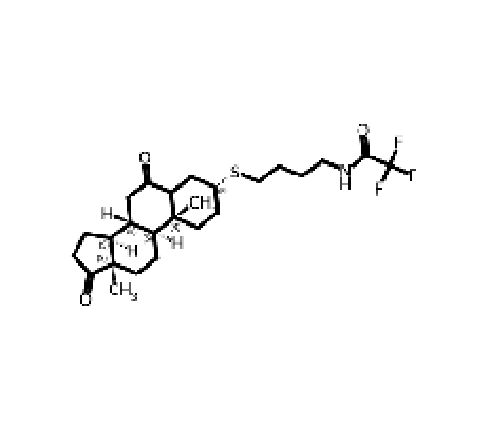 C[C@]12CC[C@@H](SCCCCNC(=O)C(F)(F)F)CC1C(=O)C[C@@H]1[C@@H]2CC[C@]2(C)C(=O)CC[C@@H]12